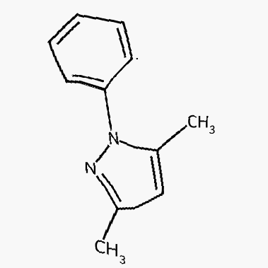 Cc1cc(C)n(-c2[c]cccc2)n1